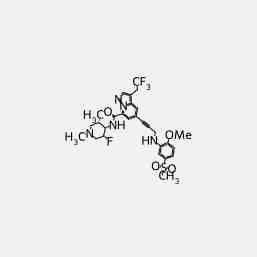 COc1ccc(S(C)(=O)=O)cc1NCC#Cc1cc(C(=O)N[C@@H]2[C@@H](C)CN(C)C[C@@H]2F)n2ncc(CC(F)(F)F)c2c1